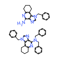 Nc1nc2c(c3c1ncn3Cc1ccccc1)CCCC2.c1ccc(CN(Cc2ccccc2)c2nc3c(c4c2ncn4Cc2ccccc2)CCCC3)cc1